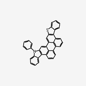 c1ccc(-n2c3ccccc3c3c4cccc5c6cccc7c8c(cc(c(cc32)c54)c67)sc2ccccc28)cc1